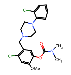 COc1cc(Cl)c(CN2CCN(c3ccccc3Cl)CC2)cc1OC(=O)N(C)C